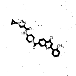 Cc1ccccc1-c1cc(Cl)c2ccc(C(=O)N3CCC(NC(=O)c4cn(C5CC5)nn4)CC3)cc2n1